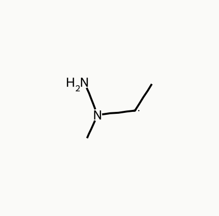 C[CH]N(C)N